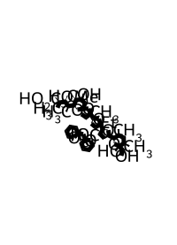 C1CCC(OC2CCCCO2)OC1.CC[C@@]1([C@@H]2O[C@@H]([C@H]3O[C@@](O)(CO)[C@H](C)C[C@@H]3C)C[C@@H]2C)CC[C@H]([C@]2(C)CC[C@]3(C[C@H](O)[C@@H](C)[C@@H]([C@@H](C)[C@@H](OC)[C@H](C)C(=O)O)O3)O2)O1